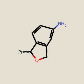 CC(C)C1OCc2cc(N)ccc21